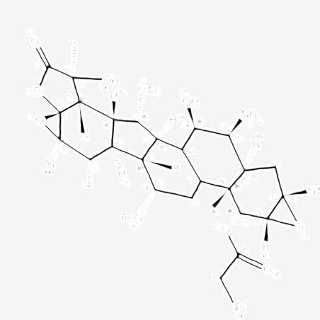 CC(=O)O[C@H]1[C@@H]2[C@H]([C@H](C)[C@H]3O[C@]34OC(=O)[C@@](C)(O)[C@]24C)[C@@]2(C)[C@@H](OC(C)=O)CC3C([C@@H](O)[C@@H](N)[C@H]4C[C@@H]5O[C@@H]5[C@H](OC(=O)CC(C)C)[C@]34C)[C@H]12